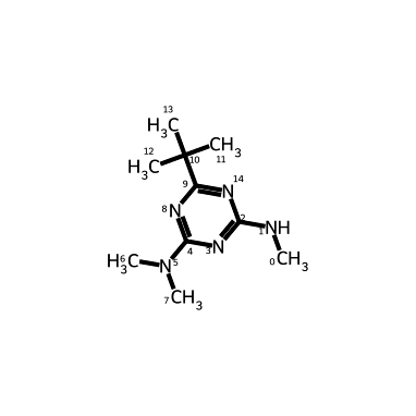 CNc1nc(N(C)C)nc(C(C)(C)C)n1